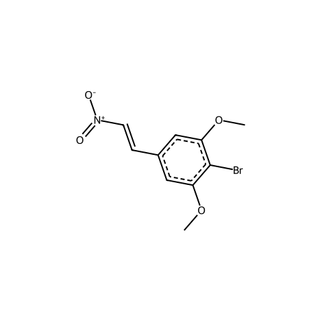 COc1cc(C=C[N+](=O)[O-])cc(OC)c1Br